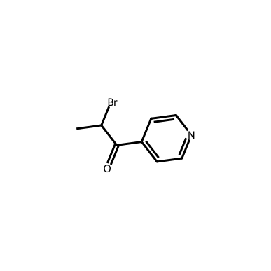 CC(Br)C(=O)c1ccncc1